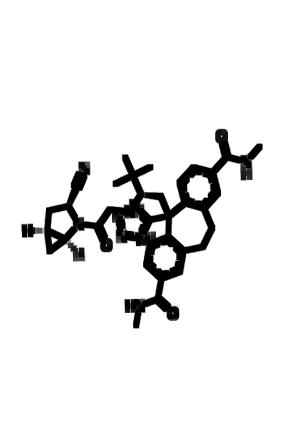 CNC(=O)c1ccc2c(c1)CCc1cc(C(=O)NC)ccc1C2(C[C@@H](NCC(=O)N1[C@H](C#N)C[C@@H]2C[C@@H]21)C(C)(C)C)c1nnn[nH]1